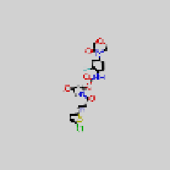 CO[C@@H]1C[C@@H](OC(=O)Nc2ccc(N3CCOCC3=O)cc2F)N(C(=O)/C=C/c2ccc(Cl)s2)C1